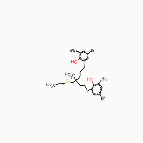 CCc1cc(CCCC(CCCc2cc(CC)cc(C(C)(C)C)c2O)(CSCCC(=O)O)C(=O)O)c(O)c(C(C)(C)C)c1